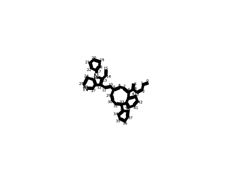 C=C/C=C\C(=C)c1ccc(/C=C/c2c(C=C)n(-c3ccccc3)c3ccncc23)cccc(-c2ccccc2)c2ccccc12